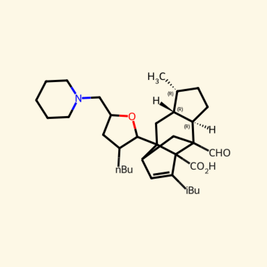 CCCCC1CC(CN2CCCCC2)OC1C12C[C@@H]3[C@H](C)CC[C@H]3C3(C=O)CC1C=C(C(C)CC)C23C(=O)O